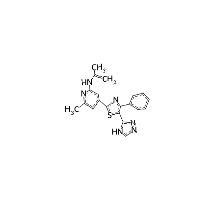 C=C(C)Nc1cc(-c2nc(-c3ccccc3)c(-c3nnc[nH]3)s2)cc(C)n1